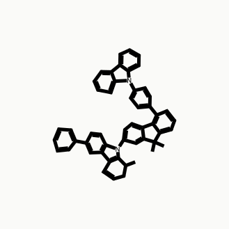 CC1CC=Cc2c1n(-c1ccc3c(c1)C(C)(C)c1cccc(-c4ccc(-n5c6ccccc6c6ccccc65)cc4)c1-3)c1ccc(-c3ccccc3)cc21